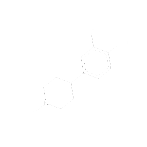 O=C(O)N1CCC(c2ccc(O)c(Cl)c2)CC1